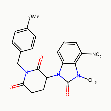 COc1ccc(CN2C(=O)CCC(n3c(=O)n(C)c4c([N+](=O)[O-])cccc43)C2=O)cc1